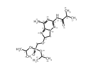 CC(C)OP(=O)(COC1CN2N=C(NC(=O)C(C)C)N=C(N)C2=N1)OC(C)C